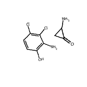 NC1CC1=O.Nc1c(O)ccc(Cl)c1Cl